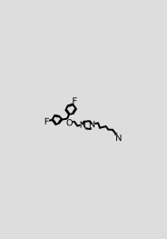 N#CCCCCCN1CCN(CCOC(c2ccc(F)cc2)c2ccc(F)cc2)CC1